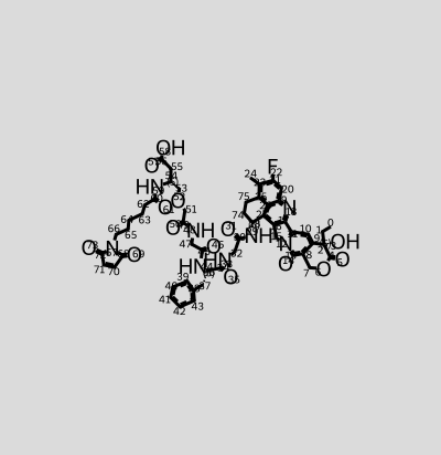 CC[C@@]1(O)C(=O)OCc2c1cc1n(c2=O)Cc2c-1nc1cc(F)c(C)c3c1c2[C@@H](NC(=O)CNC(=O)[C@H](Cc1ccccc1)NC(=O)CNC(=O)COC[C@H](CC(=O)O)NC(=O)CCCCCN1C(=O)C=CC1=O)CC3